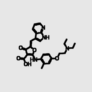 CCN(CC)CCOc1ccc(NC2=C(C(=O)O)C(=O)C(=Cc3c[nH]c4ncccc34)O2)c(C)c1